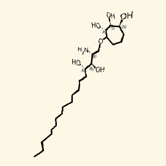 CCCCCCCCCCCCCC[C@H](O)[C@H](O)[C@H](N)COC1CCC[C@H](O)[C@H](O)[C@H]1O